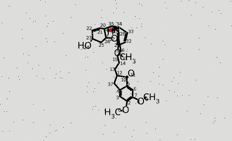 COc1cc2c(cc1OC)C(=O)C(CCCCN1CC[C@@]34C=C[C@H](O)C[C@@H]3Oc3c(OC)ccc(c34)C1)C2